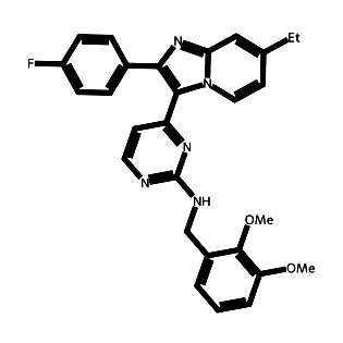 CCc1ccn2c(-c3ccnc(NCc4cccc(OC)c4OC)n3)c(-c3ccc(F)cc3)nc2c1